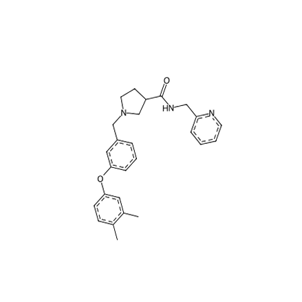 Cc1ccc(Oc2cccc(CN3CCC(C(=O)NCc4ccccn4)C3)c2)cc1C